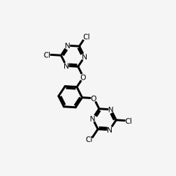 Clc1nc(Cl)nc(Oc2ccccc2Oc2nc(Cl)nc(Cl)n2)n1